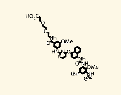 COc1cc(Nc2nccc(Oc3ccc(NC(=O)Nc4cc(C(C)(C)C)cc(N[S+](C)[O-])c4OC)c4ccccc34)n2)cc(C(=O)NCCOCCOCCC(=O)O)c1